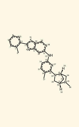 Cc1cccnc1-c1nc2cc(Nc3ccc(C)c(N4C[C@@H]5C[C@H]4CN5C)n3)ncc2s1